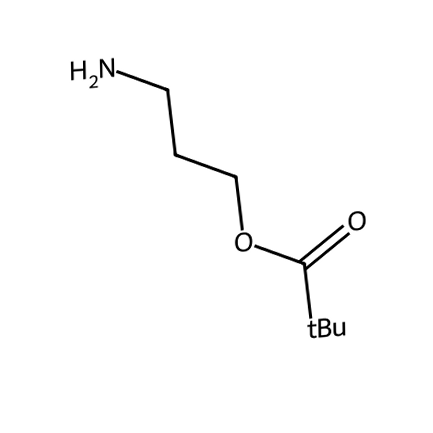 CC(C)(C)C(=O)OCCCN